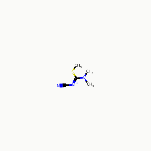 CS/C(=N\C#N)N(C)C